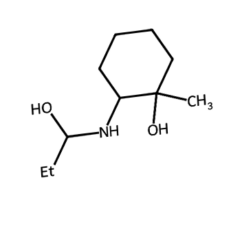 CCC(O)NC1CCCCC1(C)O